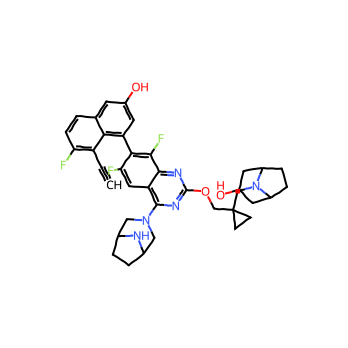 C#Cc1c(F)ccc2cc(O)cc(-c3c(F)cc4c(N5CC6CCC(C5)N6)nc(OCC5(CN6C7CCC6CC(O)C7)CC5)nc4c3F)c12